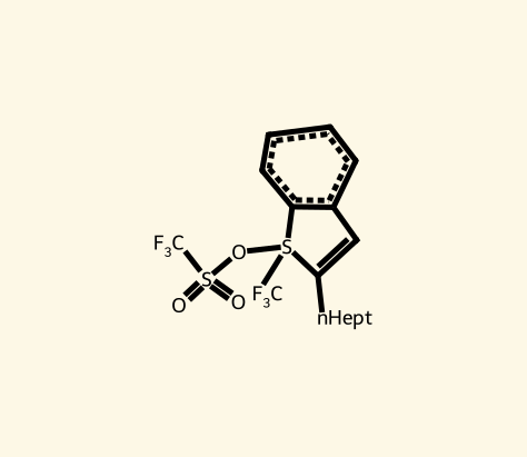 CCCCCCCC1=Cc2ccccc2S1(OS(=O)(=O)C(F)(F)F)C(F)(F)F